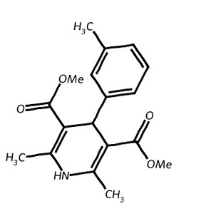 COC(=O)C1=C(C)NC(C)=C(C(=O)OC)C1c1cccc(C)c1